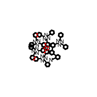 N#Cc1ccccc1-c1ccc(-n2c3ccc(-c4nc(-c5ccccc5)nc(-c5ccccc5)n4)cc3c3cc(-c4nc(-c5ccccc5)nc(-c5ccccc5)n4)ccc32)c(-c2cc(-c3nc(-c4ccccc4)nc(-c4ccccc4)n3)ccc2-n2c3ccc(-c4nc(-c5ccccc5)nc(-c5ccccc5)n4)cc3c3cc(-c4nc(-c5ccccc5)nc(-c5ccccc5)n4)ccc32)c1